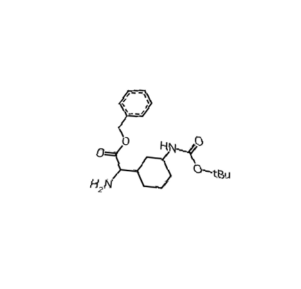 CC(C)(C)OC(=O)NC1CCCC(C(N)C(=O)OCc2ccccc2)C1